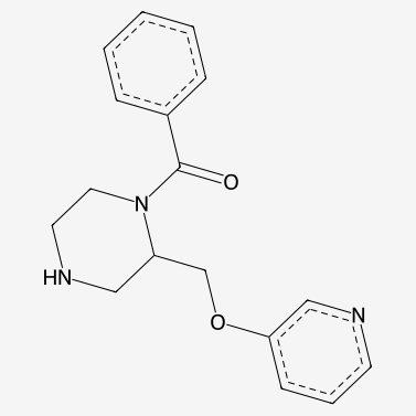 O=C(c1ccccc1)N1CCNCC1COc1cccnc1